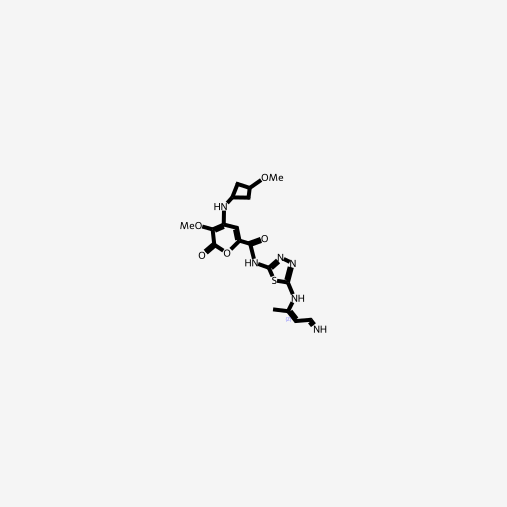 COc1c(NC2CC(OC)C2)cc(C(=O)Nc2nnc(N/C(C)=C\C=N)s2)oc1=O